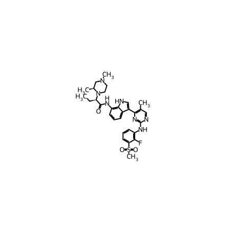 CC[C@H](C(=O)Nc1cccc2c(-c3nc(Nc4cccc(S(C)(=O)=O)c4F)ncc3C)c[nH]c12)N1CCN(C)C[C@@H]1C